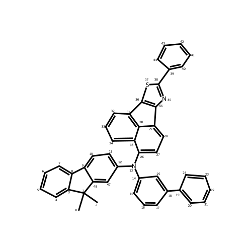 CC1(C)c2ccccc2-c2ccc(N(c3cccc(-c4ccccc4)c3)c3ccc4c5c(cccc35)-c3sc(-c5ccccc5)nc3-4)cc21